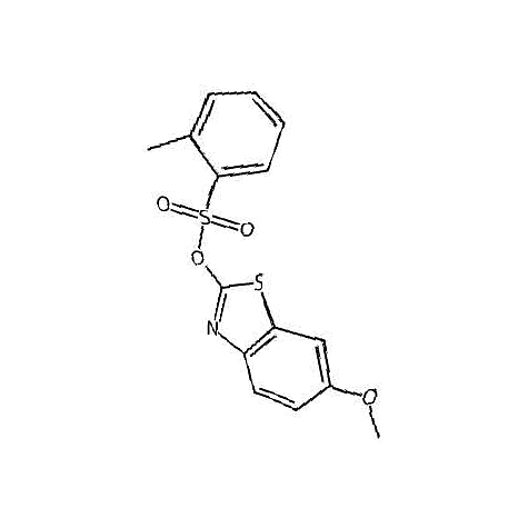 COc1ccc2nc(OS(=O)(=O)c3ccccc3C)sc2c1